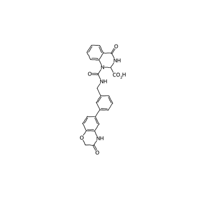 O=C1COc2ccc(-c3cccc(CNC(=O)N4c5ccccc5C(=O)NC4C(=O)O)c3)cc2N1